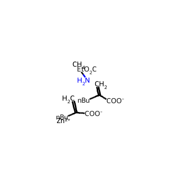 C.C=C(CCCC)C(=O)[O-].C=C(CCCC)C(=O)[O-].CCOC(N)=O.[Zn+2]